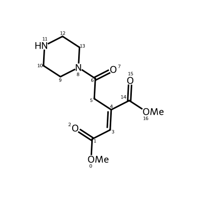 COC(=O)/C=C(\CC(=O)N1CCNCC1)C(=O)OC